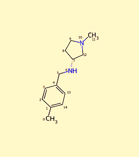 Cc1ccc(CN[C@@H]2CCN(C)C2)cc1